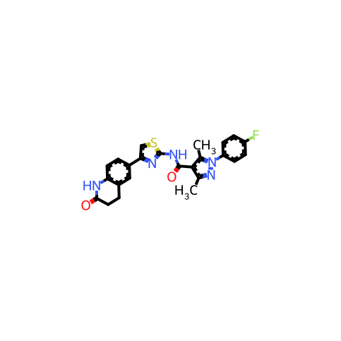 Cc1nn(-c2ccc(F)cc2)c(C)c1C(=O)Nc1nc(-c2ccc3c(c2)CCC(=O)N3)cs1